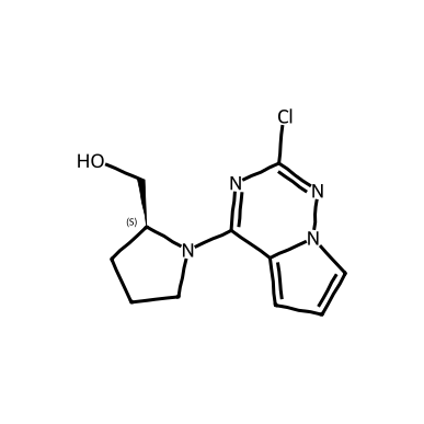 OC[C@@H]1CCCN1c1nc(Cl)nn2cccc12